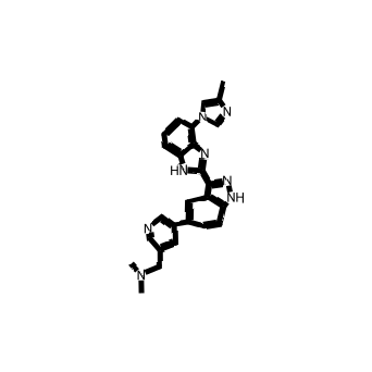 Cc1cn(-c2cccc3[nH]c(-c4n[nH]c5ccc(-c6cncc(CN(C)C)c6)cc45)nc23)cn1